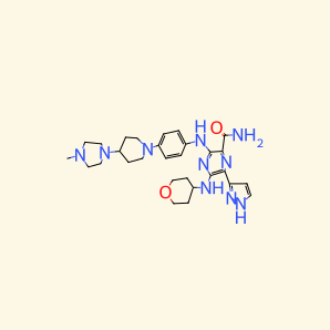 CN1CCN(C2CCN(c3ccc(Nc4nc(NC5CCOCC5)c(-c5cc[nH]n5)nc4C(N)=O)cc3)CC2)CC1